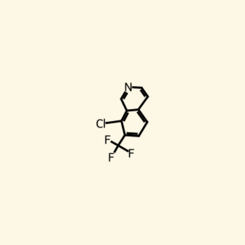 FC(F)(F)c1ccc2ccncc2c1Cl